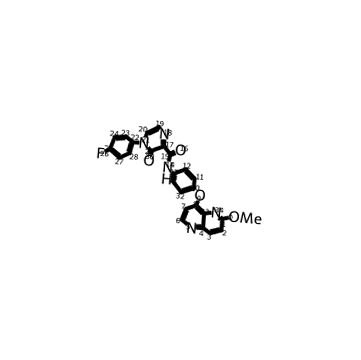 COc1ccc2nccc(Oc3ccc(NC(=O)c4nccn(-c5ccc(F)cc5)c4=O)cc3)c2n1